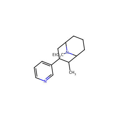 CCOC(=O)N1C2CCCC1C(C)C(c1cccnc1)C2